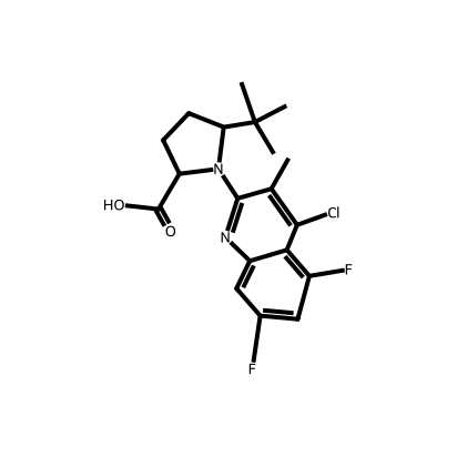 Cc1c(N2C(C(=O)O)CCC2C(C)(C)C)nc2cc(F)cc(F)c2c1Cl